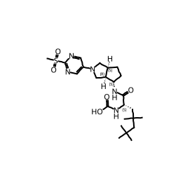 CC(C)(C)CC(C)(C)C[C@H](NC(=O)O)C(=O)N[C@H]1CC[C@@H]2CN(c3cnc(S(C)(=O)=O)nc3)C[C@@H]21